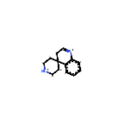 C1=Nc2ccccc2C2(C1)CCNCC2